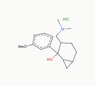 COc1cccc(C2(O)C(CN(C)C)CCC3CC32)c1.Cl